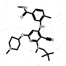 CNC(=O)c1ccc(C)c(Nc2cc(OC3CCN(C)CC3)nc(N(C)CC(C)(C)C)c2C#N)c1